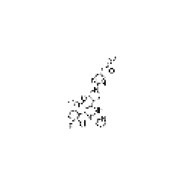 CCOC(=O)Cc1cnc(N2CCC(C3=C(C(=O)OCC)C(c4cccc(F)c4Cl)N=C(c4nccs4)N3)CC2)nc1